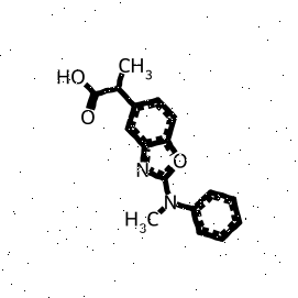 CC(C(=O)O)c1ccc2oc(N(C)c3ccccc3)nc2c1